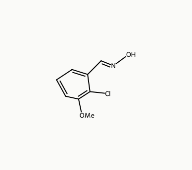 COc1cccc(C=NO)c1Cl